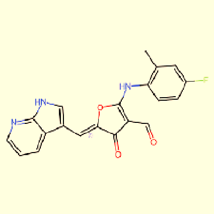 Cc1cc(F)ccc1NC1=C(C=O)C(=O)/C(=C/c2c[nH]c3ncccc23)O1